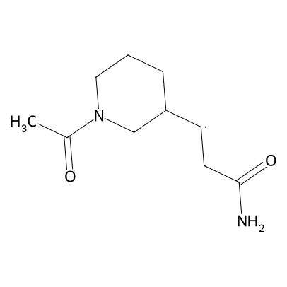 CC(=O)N1CCCC([CH]CC(N)=O)C1